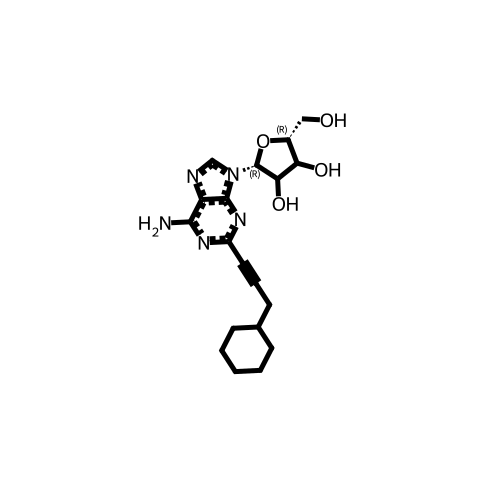 Nc1nc(C#CCC2CCCCC2)nc2c1ncn2[C@@H]1O[C@H](CO)C(O)C1O